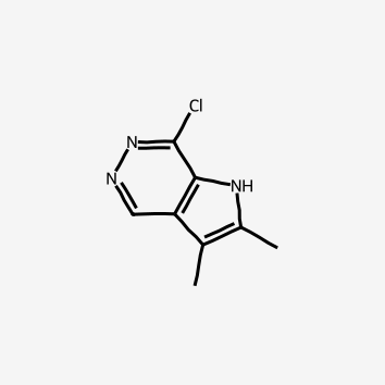 Cc1[nH]c2c(Cl)nncc2c1C